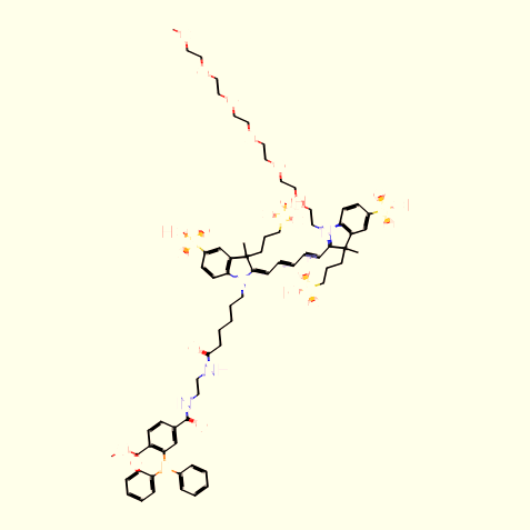 COCCOCCOCCOCCOCCOCC[N+]1=C(/C=C/C=C/C=C2/N(CCCCCC(=O)NCCNC(=O)c3ccc(C(=O)OC)c(P(c4ccccc4)c4ccccc4)c3)c3ccc(S(=O)(=O)O)cc3C2(C)CCCS(=O)(=O)O)C(C)(CCCS(=O)(=O)O)c2cc(S(=O)(=O)O)ccc21